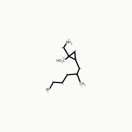 CC(C)CCCC(C)CC1CC1(CN)C(=O)O